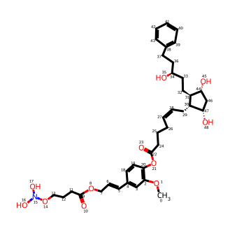 COc1cc(/C=C/COC(=O)CCCON(O)O)ccc1OC(=O)CCC/C=C\C[C@@H]1[C@@H](CC[C@@H](O)CCc2ccccc2)[C@H](O)C[C@@H]1O